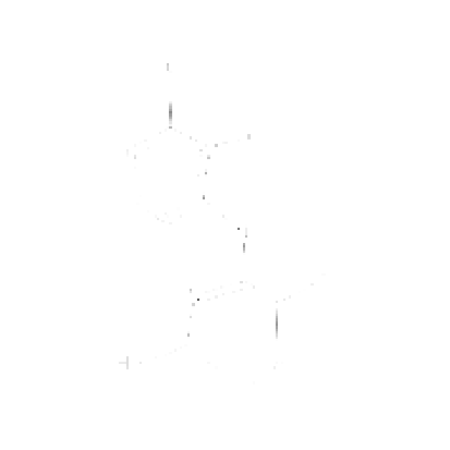 CC(C)N=C(Nc1cccc(Cl)c1Cl)C(Cl)Cl